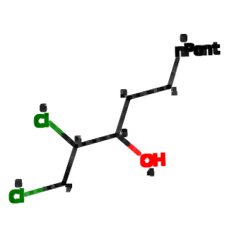 CCCCCCCC(O)C(Cl)CCl